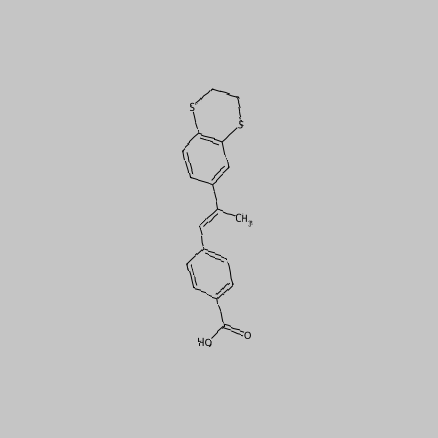 C/C(=C\c1ccc(C(=O)O)cc1)c1ccc2c(c1)SCCS2